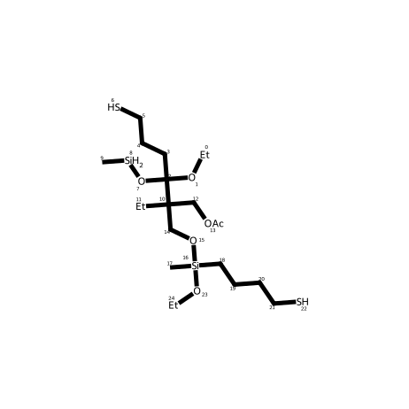 CCOC(CCCS)(O[SiH2]C)C(CC)(COC(C)=O)CO[Si](C)(CCCCS)OCC